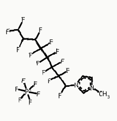 Cn1cc[n+](C(F)C(F)(F)C(F)(F)C(F)(F)C(F)(F)C(F)C(F)C(F)F)c1.F[P-](F)(F)(F)(F)F